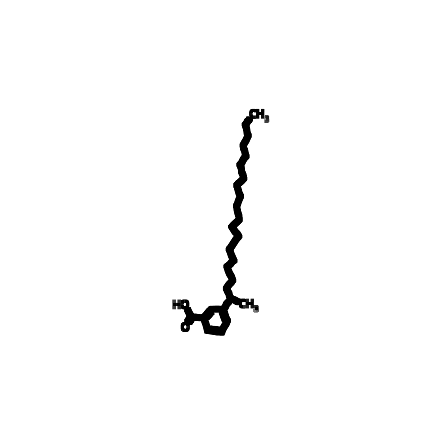 CCCCCCCCCCCCCCCCCCC(C)c1cccc(C(=O)O)c1